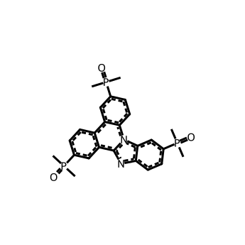 CP(C)(=O)c1ccc2c(c1)c1ccc(P(C)(C)=O)cc1c1nc3ccc(P(C)(C)=O)cc3n21